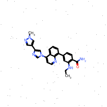 CCNc1cc(-c2cccc3c(-n4cnc(-c5cnn(C)c5)c4)ccnc23)ccc1C(N)=O